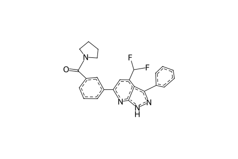 O=C(c1cccc(-c2cc(C(F)F)c3c(-c4ccccc4)n[nH]c3n2)c1)N1CCCC1